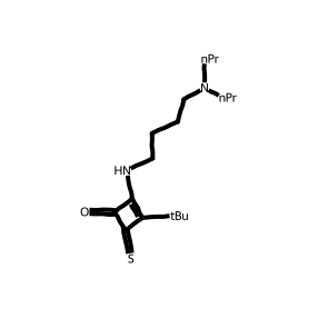 CCCN(CCC)CCCCNc1c(C(C)(C)C)c(=S)c1=O